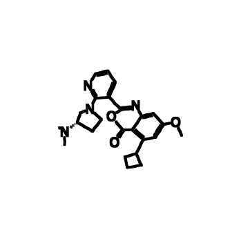 COc1cc(C2CCC2)c2c(=O)oc(-c3cccnc3N3CC[C@H](N(C)C)C3)nc2c1